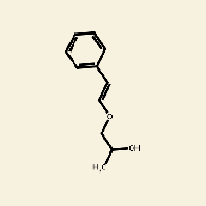 CC(O)COC=Cc1ccccc1